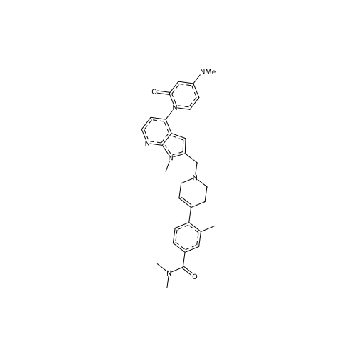 CNc1ccn(-c2ccnc3c2cc(CN2CC=C(c4ccc(C(=O)N(C)C)cc4C)CC2)n3C)c(=O)c1